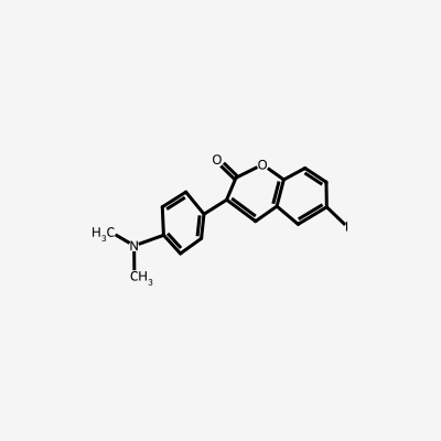 CN(C)c1ccc(-c2cc3cc(I)ccc3oc2=O)cc1